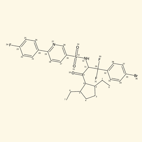 CCC1CCC(CC)C1C(=O)C(NS(=O)(=O)c1ccc(-c2ccc(F)cc2)nc1)C(F)(F)c1ccc(Br)cc1